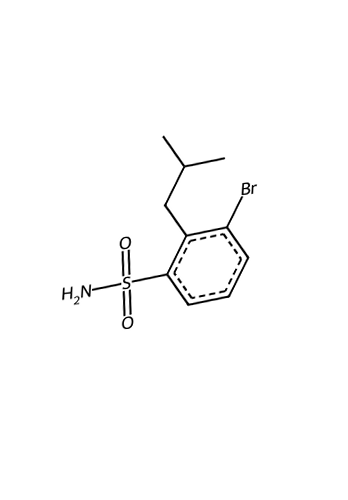 CC(C)Cc1c(Br)cccc1S(N)(=O)=O